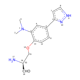 CN(C)c1cc(-c2cc[nH]n2)ccc1OC[C@H](N)C=O